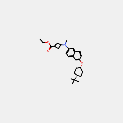 CCOC(=O)C1CC(N(C)c2ccc3cc(O[C@H]4CC[C@H](C(C)(C)C)CC4)ccc3c2)C1